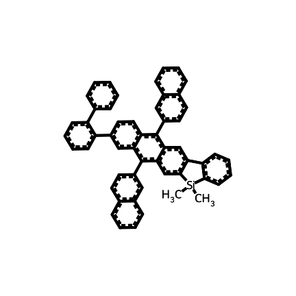 C[Si]1(C)c2ccccc2-c2cc3c(-c4ccc5ccccc5c4)c4ccc(-c5ccccc5-c5ccccc5)cc4c(-c4ccc5ccccc5c4)c3cc21